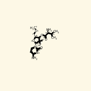 COC[C@H]1O[C@@H](n2ccc(N)nc2=O)C(F)(F)C1OC(=O)[C@@H](N)C(C)C